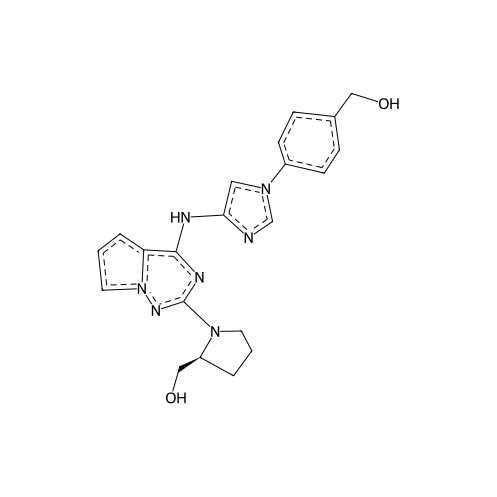 OCc1ccc(-n2cnc(Nc3nc(N4CCC[C@H]4CO)nn4cccc34)c2)cc1